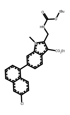 CCOC(=O)c1c(CNC(=O)OC(C)(C)C)n(C)c2cc(-c3cccc4cc(Cl)ccc34)ccc12